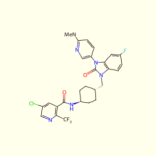 CNc1ccc(-n2c(=O)n(C[C@H]3CC[C@H](NC(=O)c4cc(Cl)cnc4C(F)(F)F)CC3)c3ccc(F)cc32)cn1